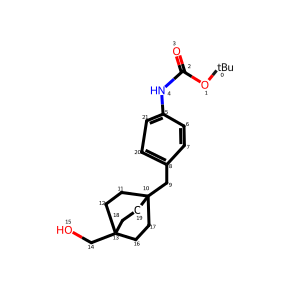 CC(C)(C)OC(=O)Nc1ccc(CC23CCC(CO)(CC2)CC3)cc1